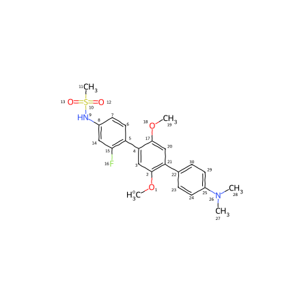 COc1cc(-c2ccc(NS(C)(=O)=O)cc2F)c(OC)cc1-c1ccc(N(C)C)cc1